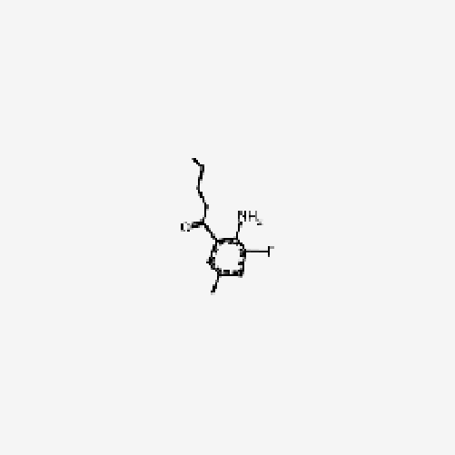 Nc1c(F)cc(I)cc1C(=O)CCCI